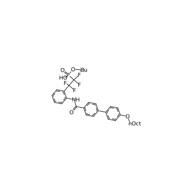 CCCCCCCCOc1ccc(-c2ccc(C(=O)Nc3ccccc3C(F)(F)C(F)(F)P(=O)(O)OC(C)CC)cc2)cc1